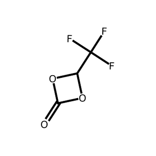 O=C1OC(C(F)(F)F)O1